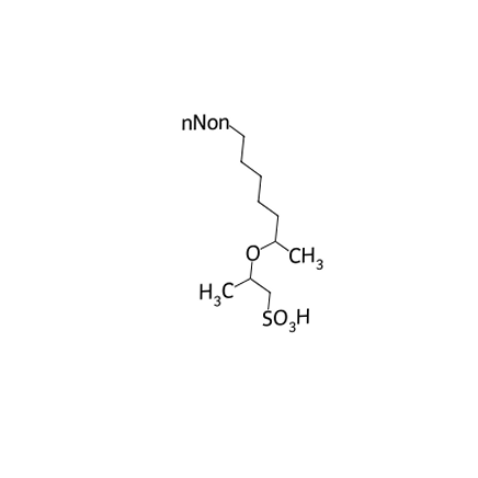 CCCCCCCCCCCCCCC(C)OC(C)CS(=O)(=O)O